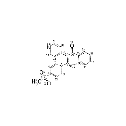 CS(=O)(=O)c1ccc(-c2oc3ccccc3c(=O)c2-c2ccncc2)cc1